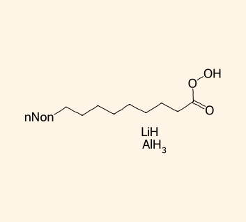 CCCCCCCCCCCCCCCCCC(=O)OO.[AlH3].[LiH]